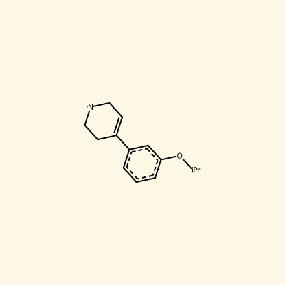 CC(C)Oc1cccc(C2=CC[N]CC2)c1